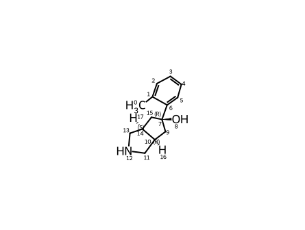 Cc1ccccc1[C@]1(O)C[C@H]2CNC[C@H]2C1